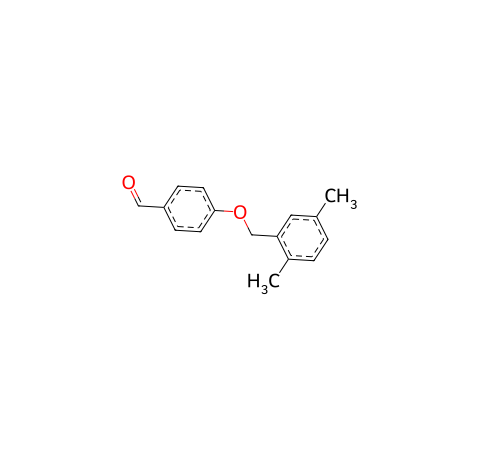 Cc1ccc(C)c(COc2ccc(C=O)cc2)c1